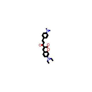 CCN(CC)c1ccc2cc(C(=O)/C=C/c3ccc(N(C)C)cc3)c(=O)oc2c1